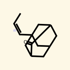 C/C=C\C12CC3CC(C1)C(=O)C(C3)C2